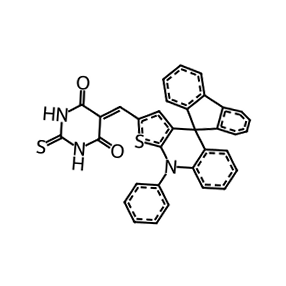 O=C1NC(=S)NC(=O)C1=Cc1cc2c(s1)N(c1ccccc1)c1ccccc1C21c2ccccc2-c2ccccc21